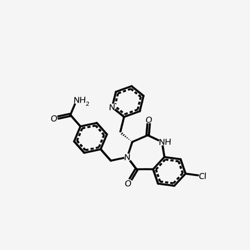 NC(=O)c1ccc(CN2C(=O)c3ccc(Cl)cc3NC(=O)[C@H]2Cc2ccccn2)cc1